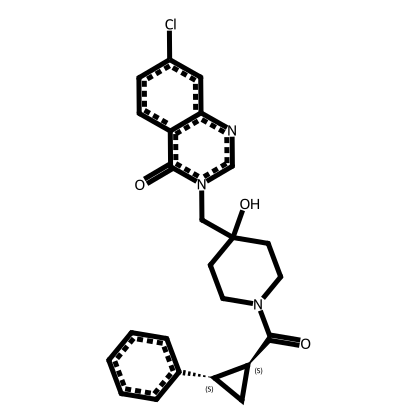 O=C([C@H]1C[C@@H]1c1ccccc1)N1CCC(O)(Cn2cnc3cc(Cl)ccc3c2=O)CC1